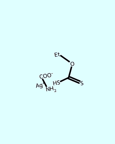 CCOC(=S)S.NC(=O)[O-].[Ag+]